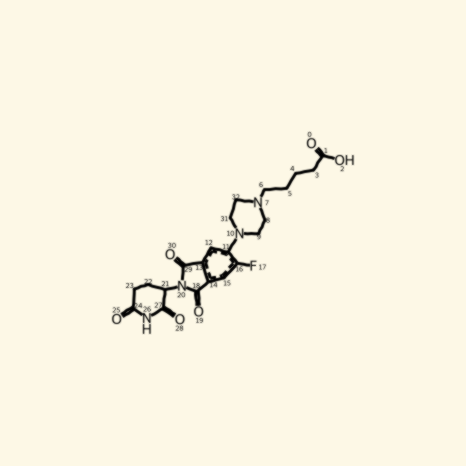 O=C(O)CCCCN1CCN(c2cc3c(cc2F)C(=O)N(C2CCC(=O)NC2=O)C3=O)CC1